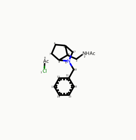 CC(=O)Cl.CC(=O)NCC1C2CCC1N(Cc1ccccc1)C2